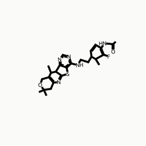 CC(=O)NC1=C(F)C(C)C(CCNc2ncnc3c2SC2=NC4=C(COC(C)(C)C4)C(C)C23)C=C1